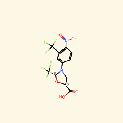 O=C(O)[C@@H]1CN(c2ccc([N+](=O)[O-])c(C(F)(F)F)c2)[C@@H](C(F)(F)F)O1